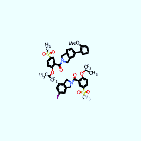 COc1ccccc1-c1ccc2c(c1)CN(C(=O)c1cc(S(C)(=O)=O)ccc1OC(C)C(F)(F)F)C2.C[C@H](Oc1ccc(S(C)(=O)=O)cc1C(=O)N1Cc2ccc(I)cc2C1)C(F)(F)F